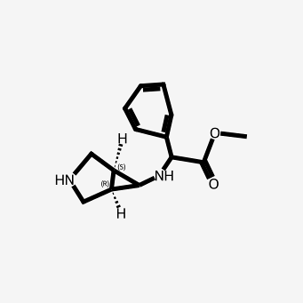 COC(=O)C(NC1[C@H]2CNC[C@@H]12)c1ccccc1